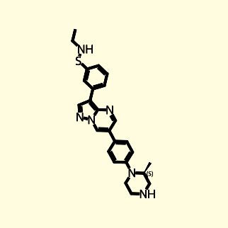 CCNSc1cccc(-c2cnn3cc(-c4ccc(N5CCNC[C@@H]5C)cc4)cnc23)c1